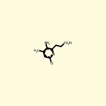 CCOC(=O)CCc1nc(Cl)cc(C)c1N